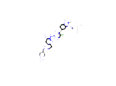 CCN1CCC(Cn2ccc3nc(Nc4ncc(F)c(-c5cc(F)c6nc(C)n(C(C)C)c6c5)n4)ccc32)CC1